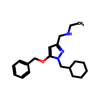 CCNCc1cc(OCc2ccccc2)n(CC2CCCCC2)n1